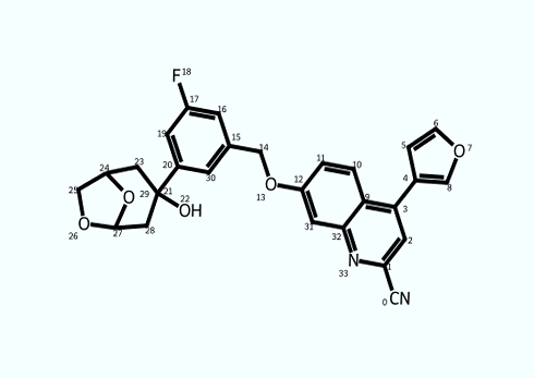 N#Cc1cc(-c2ccoc2)c2ccc(OCc3cc(F)cc(C4(O)CC5COC(C4)O5)c3)cc2n1